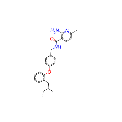 CCC(C)Cc1ccccc1Oc1ccc(CNC(=O)c2ccc(C)nc2N)cc1